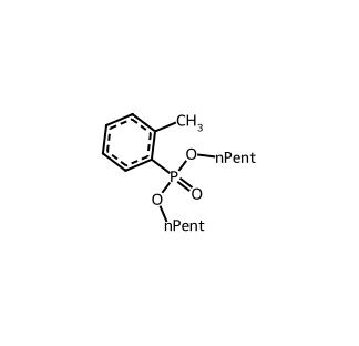 CCCCCOP(=O)(OCCCCC)c1ccccc1C